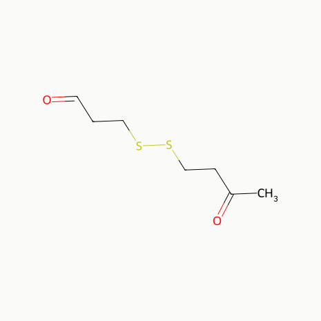 CC(=O)CCSSCCC=O